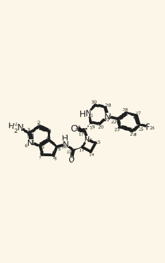 Nc1ccc2c(n1)CCC2NC(=O)[C@@H]1CCN1C(=O)[C@H]1CN(c2ccc(F)cc2)CCN1